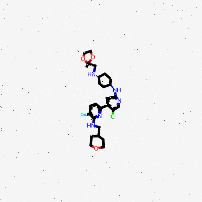 CC1(CN[C@H]2CC[C@H](Nc3cc(-c4ccc(F)c(NCC5CCOCC5)n4)c(Cl)cn3)CC2)OCCO1